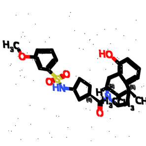 COc1cccc(S(=O)(=O)NC2CC[C@@H](C(=O)N3CC[C@@]4(C)c5cccc(O)c5C[C@@H]3C4(C)C)C2)c1